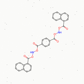 O=C(ONOC(=O)c1cccc2ccccc12)c1ccc(C(=O)ONOC(=O)c2cccc3ccccc23)cc1